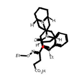 CCO/N=C(\CCC(=O)O)c1nc2ccccc2n(C2C[C@H]3CCC[C@@H](C2)N3C2C[C@@H]3C[C@@H](CC)C[C@H](C2)C3)c1=O